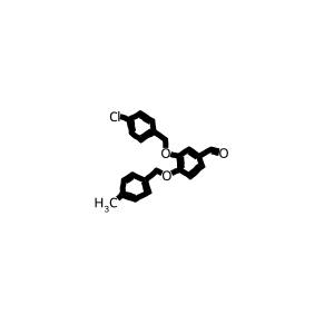 Cc1ccc(COc2ccc(C=O)cc2OCc2ccc(Cl)cc2)cc1